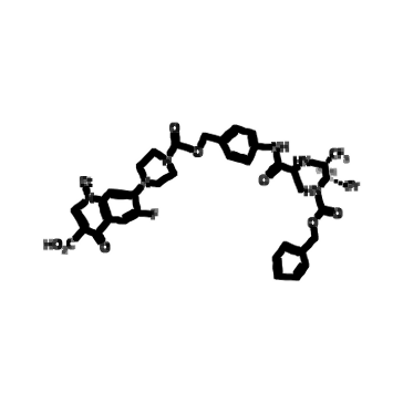 CCn1cc(C(=O)O)c(=O)c2cc(F)c(N3CCN(C(=O)OCc4ccc(NC(=O)C(C)N[C@@H]([C@@H](NC(=O)OCc5ccccc5)C(C)C)C(F)(F)F)cc4)CC3)cc21